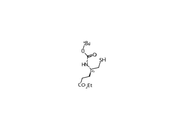 CCOC(=O)CC[C@H](CS)NC(=O)OC(C)(C)C